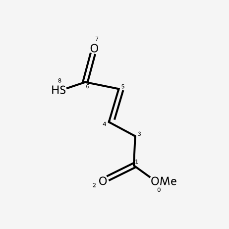 COC(=O)C/C=C/C(=O)S